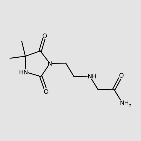 CC1(C)NC(=O)N(CCNCC(N)=O)C1=O